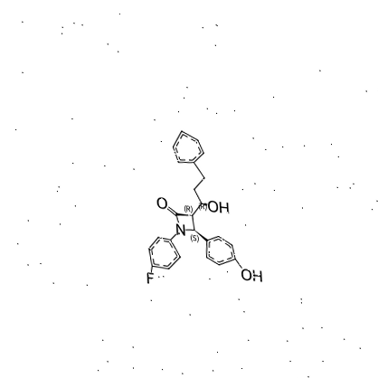 O=C1[C@@H]([C@H](O)CCc2ccccc2)[C@@H](c2ccc(O)cc2)N1c1ccc(F)cc1